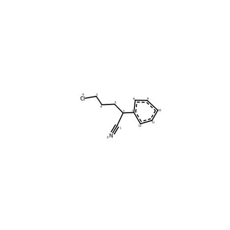 N#CC(CCCCl)c1ccccc1